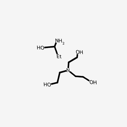 CCC(N)O.OCCN(CCO)CCO